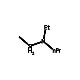 CCCN(CC)[SiH2]C